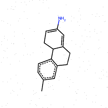 Cc1ccc2c(c1)CCC1=CC(N)=CCC12